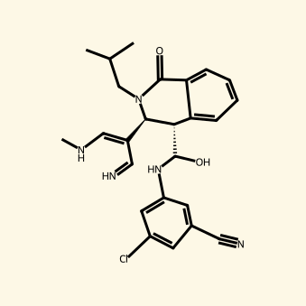 CN/C=C(\C=N)[C@@H]1[C@@H](C(O)Nc2cc(Cl)cc(C#N)c2)c2ccccc2C(=O)N1CC(C)C